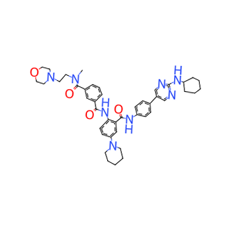 CN(CCN1CCOCC1)C(=O)c1cccc(C(=O)Nc2ccc(N3CCCCC3)cc2C(=O)Nc2ccc(-c3cnc(NC4CCCCC4)nc3)cc2)c1